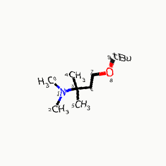 CN(C)C(C)(C)CCOC(C)(C)C